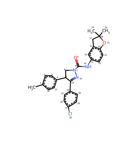 Cc1ccc(C2CN(C(=O)Nc3ccc4c(c3)CC(C)(C)O4)N=C2c2ccc(Cl)cc2)cc1